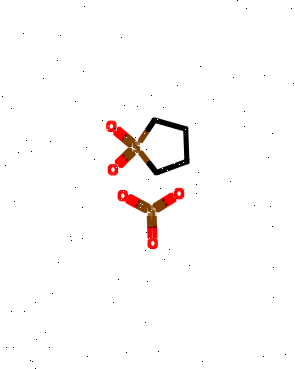 O=S(=O)=O.O=S1(=O)CCCC1